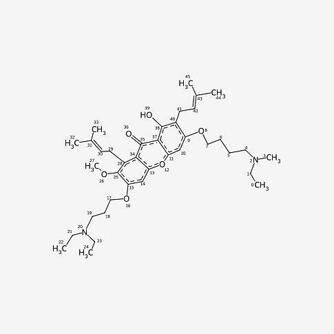 CCN(C)CCCCOc1cc2oc3cc(OCCCN(CC)CC)c(OC)c(CC=C(C)C)c3c(=O)c2c(O)c1CC=C(C)C